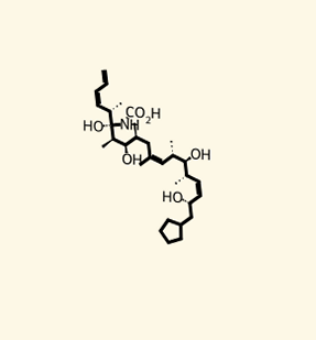 C=C/C=C\[C@H](C)[C@@](O)(NC(=O)O)[C@H](C)[C@H](O)[C@@H](C)C/C(C)=C\[C@H](C)[C@@H](O)[C@@H](C)/C=C\[C@@H](O)CC1CCCC1